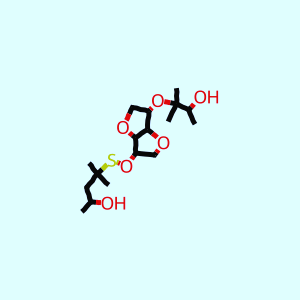 CC(O)CC(C)(C)SOC1COC2C(OC(C)(C)C(C)O)COC12